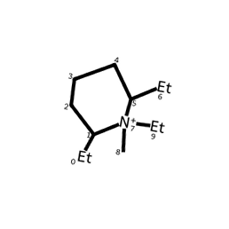 CCC1CCCC(CC)[N+]1(C)CC